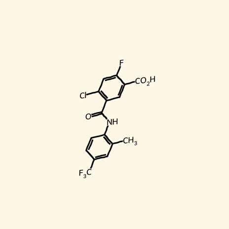 Cc1cc(C(F)(F)F)ccc1NC(=O)c1cc(C(=O)O)c(F)cc1Cl